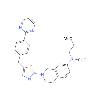 COCCN(C=O)c1ccc2c(c1)CN(c1ncc(Cc3ccc(-c4ncccn4)cc3)s1)CC2